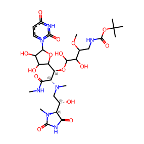 CNC(=O)[C@H]([C@H](OC(O)C(O)C(CNC(=O)OC(C)(C)C)OC)C1OC(n2ccc(=O)[nH]c2=O)C(O)C1O)N(C)C[C@H](O)[C@H]1C(=O)NC(=O)N1C